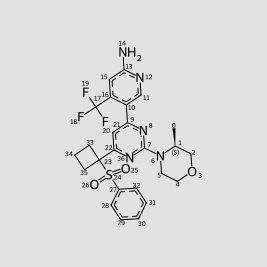 C[C@H]1COCCN1c1nc(-c2cnc(N)cc2C(F)(F)F)cc(C2(S(=O)(=O)c3ccccc3)CCC2)n1